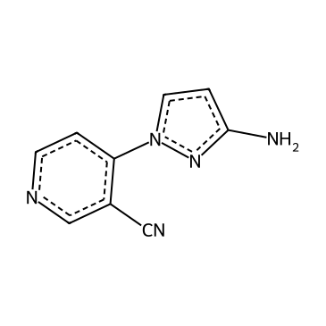 N#Cc1cnccc1-n1ccc(N)n1